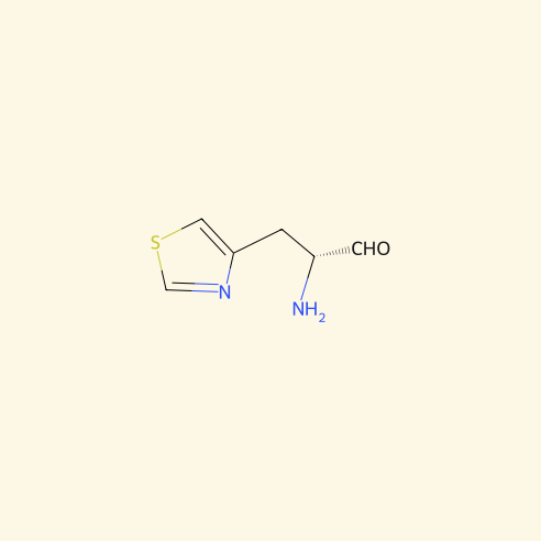 N[C@@H](C=O)Cc1cscn1